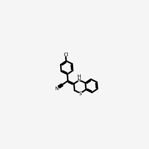 N#C/C(=C1\CSc2ccccc2N1)c1ccc(Cl)cc1